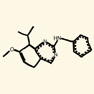 COC1=CCc2cnc(Nc3ccccc3)nc2C1C(C)C